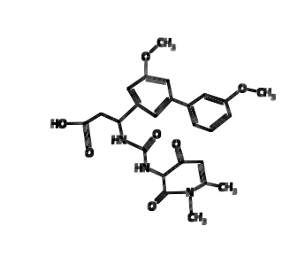 COc1cccc(-c2cc(OC)cc(C(CC(=O)O)NC(=O)NC3C(=O)C=C(C)N(C)C3=O)c2)c1